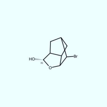 O[C@H]1OC2C(Br)C3CC2C1C3